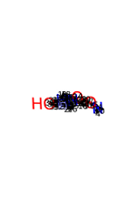 CCN(CC)CCOc1ccc(CC(=O)NCc2ccccc2-c2ccccc2/C=C/c2ccc(O)cc2)cc1